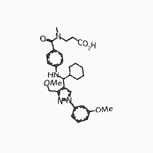 COCc1nn(-c2cccc(OC)c2)cc1C(Nc1ccc(C(=O)N(C)CCC(=O)O)cc1)C1CCCCC1